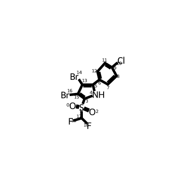 O=S(=O)(c1[nH]c(-c2ccc(Cl)cc2)c(Br)c1Br)C(F)F